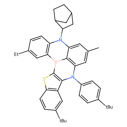 CCc1ccc2c(c1)B1c3sc4ccc(C(C)(C)C)cc4c3N(c3ccc(C(C)(C)C)cc3)c3cc(C)cc(c31)N2C1CC2CCC1C2